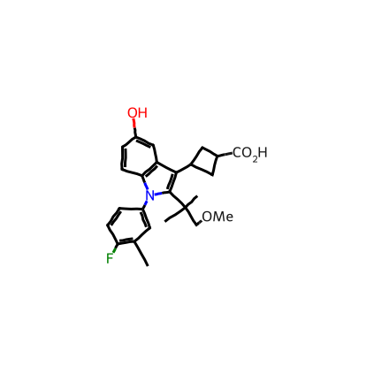 COCC(C)(C)c1c(C2CC(C(=O)O)C2)c2cc(O)ccc2n1-c1ccc(F)c(C)c1